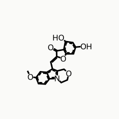 COc1ccc2c(c1)c(C=C1Oc3cc(O)cc(O)c3C1=O)c1n2CCOC1